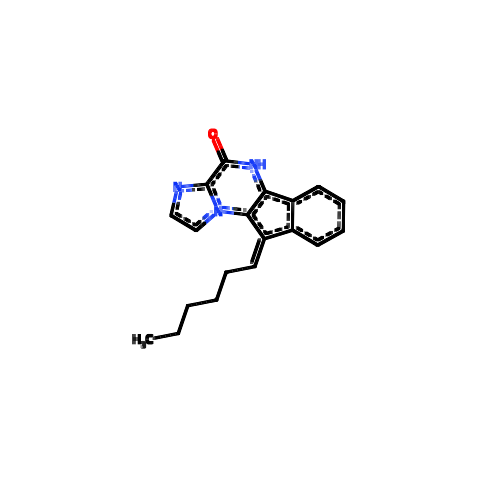 CCCCC/C=c1/c2ccccc2c2[nH]c(=O)c3nccn3c12